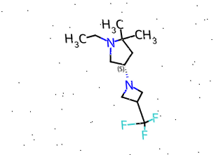 CCN1C[C@@H](N2CC(C(F)(F)F)C2)CC1(C)C